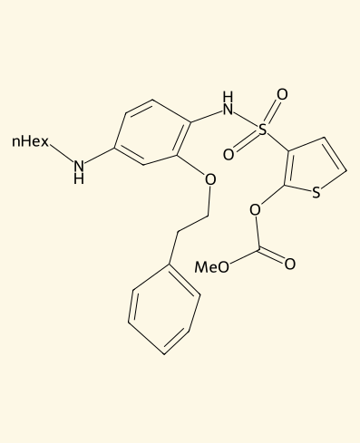 CCCCCCNc1ccc(NS(=O)(=O)c2ccsc2OC(=O)OC)c(OCCc2ccccc2)c1